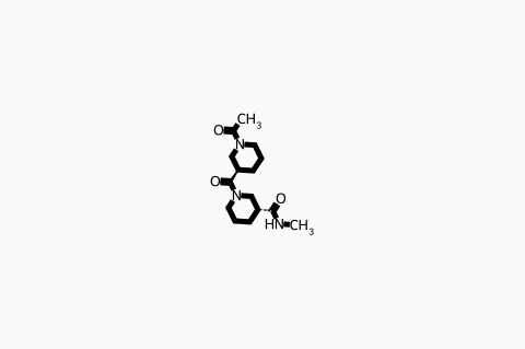 CNC(=O)[C@@H]1CCCN(C(=O)[C@@H]2CCCN(C(C)=O)C2)C1